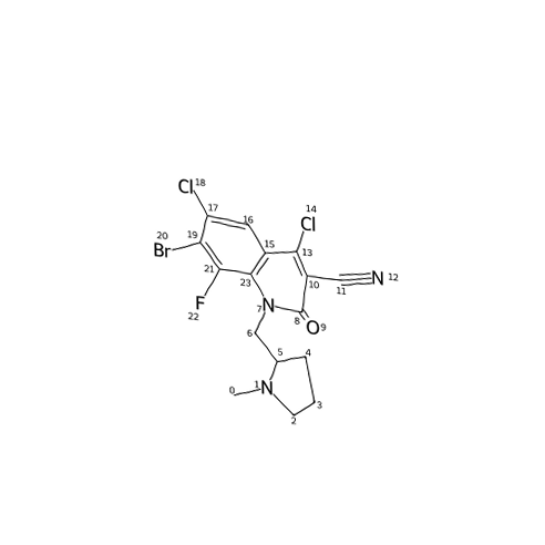 CN1CCCC1Cn1c(=O)c(C#N)c(Cl)c2cc(Cl)c(Br)c(F)c21